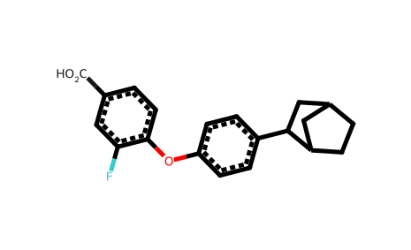 O=C(O)c1ccc(Oc2ccc(C3CC4CCC3C4)cc2)c(F)c1